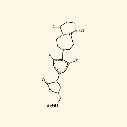 CC(=O)NC[C@H]1CN(c2cc(F)c(N3CCN4C(=O)CCC(=O)N4CC3)c(F)c2)C(=O)O1